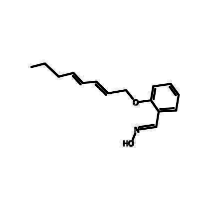 CCCC=CC=CCOc1ccccc1C=NO